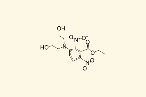 CCOC(=O)c1c([N+](=O)[O-])ccc(N(CCO)CCO)c1[N+](=O)[O-]